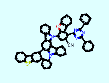 N#Cc1cc(-n2c3ccccc3c3cc(-c4ccc5sc6ccccc6c5c4)c4c(c5ccccc5n4-c4ccccc4)c32)c2oc3ccccc3c2c1-c1nc(-c2ccccc2)nc(-c2ccccc2)n1